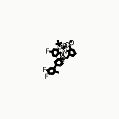 COC(=O)c1cccc(COc2ccc(-c3cc(F)c(F)cc3C)cc2)c1N(Nc1ccc(F)cc1)C(=O)OC(C)(C)C